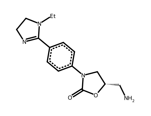 CCN1CCN=C1c1ccc(N2C[C@H](CN)OC2=O)cc1